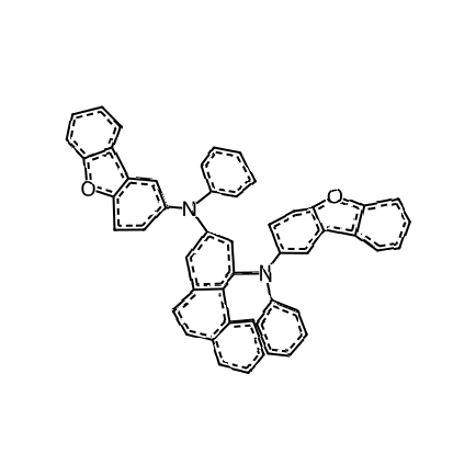 c1ccc(N(c2cc(N(c3ccccc3)c3ccc4oc5ccccc5c4c3)c3c(ccc4ccccc43)c2)c2ccc3oc4ccccc4c3c2)cc1